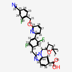 CC1(C)CC[C@H](Cn2c(Cc3cc(F)c(-c4cccc(OCc5ccc(C#N)cc5F)n4)cc3F)nc3ccc(C(=O)O)cc32)O1